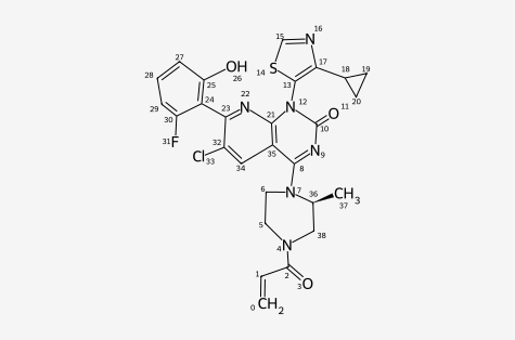 C=CC(=O)N1CCN(c2nc(=O)n(-c3scnc3C3CC3)c3nc(-c4c(O)cccc4F)c(Cl)cc23)[C@@H](C)C1